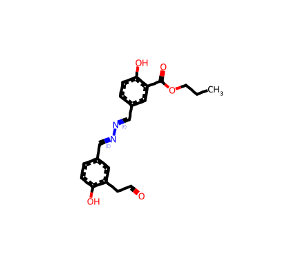 CCCOC(=O)c1cc(/C=N/N=C/c2ccc(O)c(CC=O)c2)ccc1O